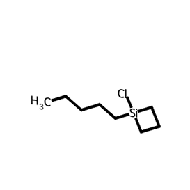 CCCCC[Si]1(Cl)CCC1